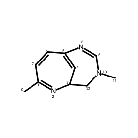 CC1=NC2C=C(C=C1)N=CN(C)C2